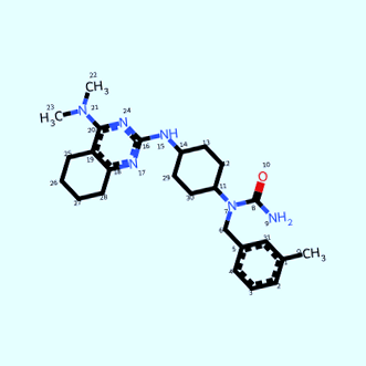 Cc1cccc(CN(C(N)=O)C2CCC(Nc3nc4c(c(N(C)C)n3)CCCC4)CC2)c1